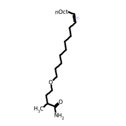 CCCCCCCC/C=C\CCCCCCCCOCCC(C)C(N)=O